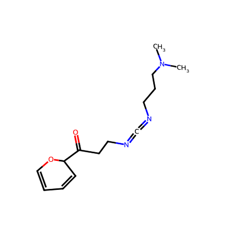 CN(C)CCCN=C=NCCC(=O)C1C=CC=CO1